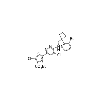 CCOC(=O)c1nc(-c2cc(Cl)c(NCC3(c4ncccc4CC)CCC3)nn2)sc1Cl